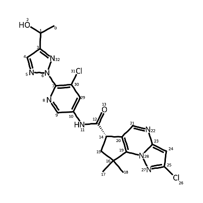 CC(O)c1cnn(-c2ncc(NC(=O)[C@H]3CC(C)(C)c4c3cnc3cc(Cl)nn43)cc2Cl)n1